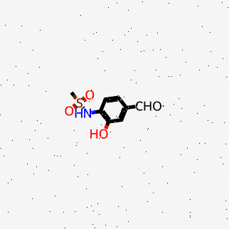 CS(=O)(=O)Nc1ccc([C]=O)cc1O